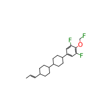 C/C=C/C1CCC(C2CCC(c3cc(F)c(OCF)c(F)c3)CC2)CC1